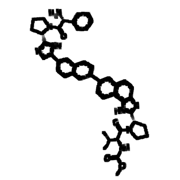 COC(=O)N[C@H](C(=O)N1CCC[C@H]1c1nc2ccc3cc(-c4ccc5cc(-c6cnc([C@@H]7CCCN7C(=O)[C@H](N)c7ccccc7)[nH]6)ccc5c4)ccc3c2[nH]1)C(C)C